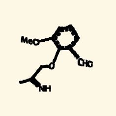 COc1cccc(C=O)c1OCC(C)=N